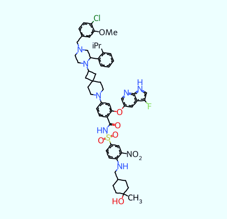 COc1cc(CN2CCN(C3CC4(CCN(c5ccc(C(=O)NS(=O)(=O)c6ccc(NCC7CCC(C)(O)CC7)c([N+](=O)[O-])c6)c(Oc6cnc7[nH]cc(F)c7c6)c5)CC4)C3)C(c3ccccc3C(C)C)C2)ccc1Cl